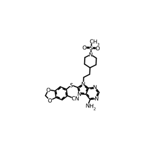 CS(=O)(=O)N1CCC(CCn2c(Sc3cc4c(cc3C#N)OCO4)nc3c(N)ncnc32)CC1